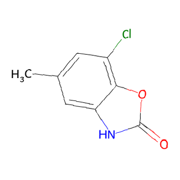 Cc1cc(Cl)c2oc(=O)[nH]c2c1